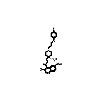 COc1ccc2ncc(Cl)c(C(F)CCC3(C(=O)O)CCN(CCCSc4ccc(F)cc4)CC3)c2c1